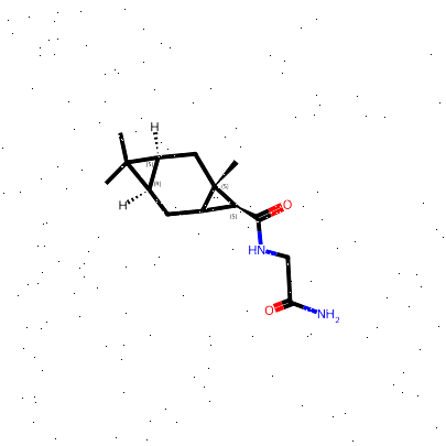 CC1(C)[C@@H]2CC3[C@H](C(=O)NCC(N)=O)[C@@]3(C)C[C@@H]21